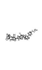 COCCN1CCN(c2cc(C(=O)N[C@H](C)c3ncc(C(=O)Nc4cc(C(F)(F)F)c(Cl)cn4)s3)ncn2)CC1